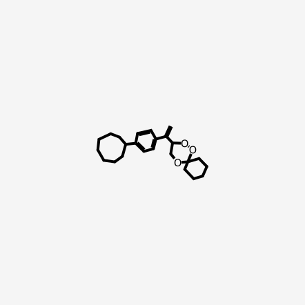 C=C(c1ccc(C2CCCCCCC2)cc1)C1COC2(CCCCC2)OO1